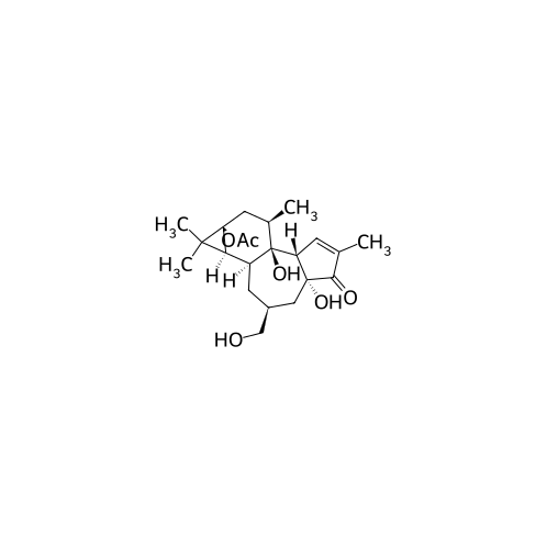 CC(=O)O[C@@]12C[C@@H](C)[C@@]3(O)[C@@H](C[C@H](CO)C[C@]4(O)C(=O)C(C)=C[C@@H]34)[C@H]1C2(C)C